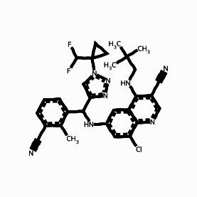 Cc1c(C#N)cccc1C(Nc1cc(Cl)c2ncc(C#N)c(NCC(C)(C)C)c2c1)c1cn(C2(C(F)F)CC2)nn1